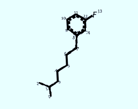 CC(C)CCCCCc1cccc(F)c1